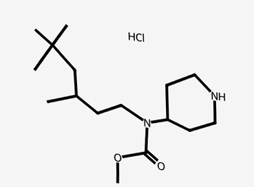 COC(=O)N(CCC(C)CC(C)(C)C)C1CCNCC1.Cl